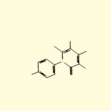 CCc1c(C)c(C(=O)O)c(=O)n(-c2ccc(F)cc2)c1C.Cl